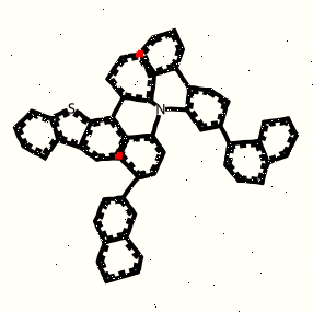 c1ccc(-c2ccc(-c3cccc4ccccc34)cc2N(c2ccc(-c3ccc4ccccc4c3)cc2)c2ccccc2-c2cccc3c2sc2ccccc23)cc1